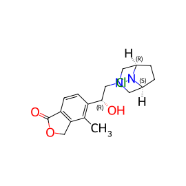 Cc1c([C@@H](O)CN2C[C@H]3CC[C@@H](C2)N3Cl)ccc2c1COC2=O